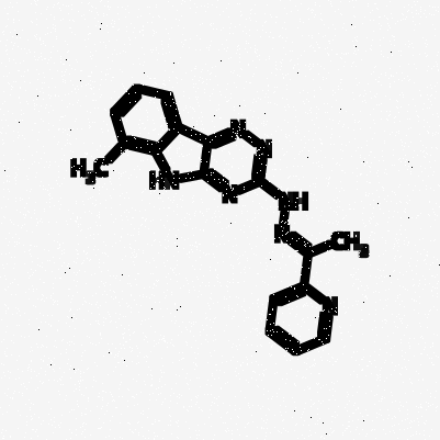 C/C(=N\Nc1nnc2c(n1)[nH]c1c(C)cccc12)c1ccccn1